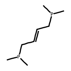 CP(C)CC=CCP(C)C